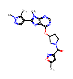 CCn1ncc(-c2nc3c(OC4CCN(C(=O)c5cc(C)on5)C4)ncnc3n2C)c1C